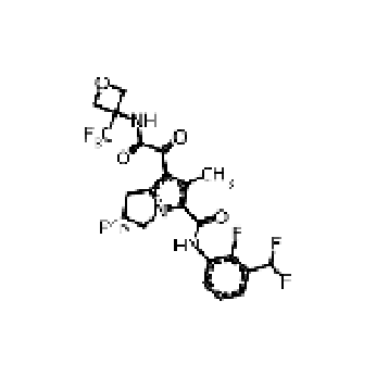 Cc1c(C(=O)C(=O)NC2(C(F)(F)F)COC2)c2n(c1C(=O)Nc1cccc(C(F)F)c1F)C[C@H](F)C2